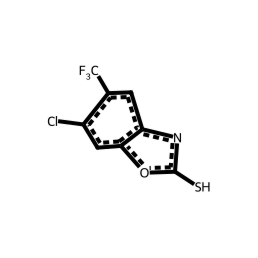 FC(F)(F)c1cc2nc(S)oc2cc1Cl